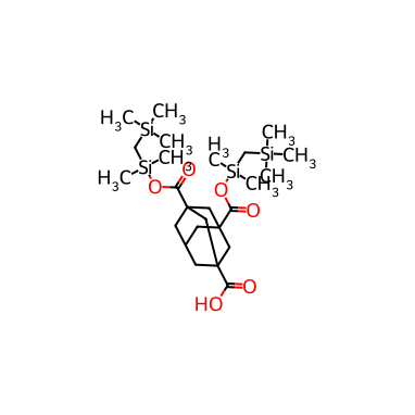 C[Si](C)(C)C[Si](C)(C)OC(=O)C12CC3CC(C(=O)O)(C1)CC(C(=O)O[Si](C)(C)C[Si](C)(C)C)(C3)C2